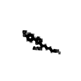 CC(=O)N[C@@H](CCCCN)c1nnc(-c2ccc(OC(F)(F)F)cc2)o1